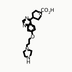 O=C(O)N1CCC(c2ncnc3cc(OCCCN4CCNCC4)ccc23)CC1